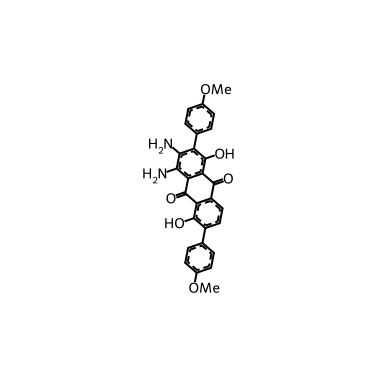 COc1ccc(-c2ccc3c(c2O)C(=O)c2c(N)c(N)c(-c4ccc(OC)cc4)c(O)c2C3=O)cc1